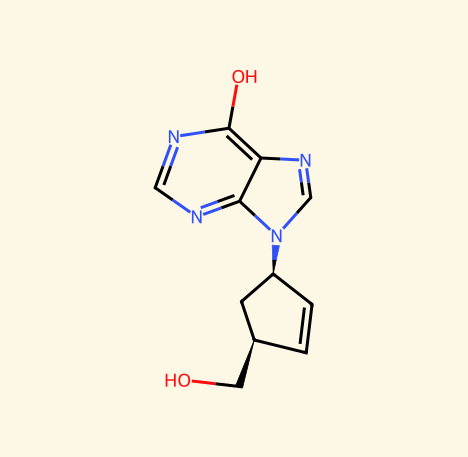 OC[C@@H]1C=C[C@H](n2cnc3c(O)ncnc32)C1